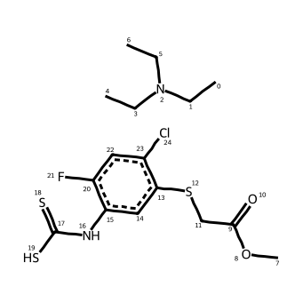 CCN(CC)CC.COC(=O)CSc1cc(NC(=S)S)c(F)cc1Cl